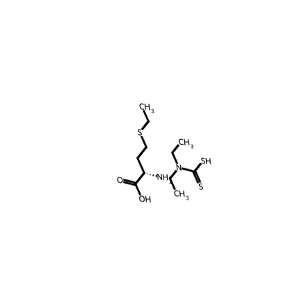 CCN(CC)C(=S)S.CCSCC[C@H](N)C(=O)O